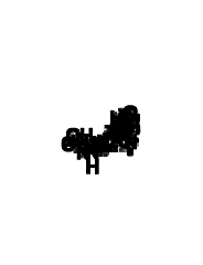 Cc1cc(-c2ccn3nc(Nc4ccc(C(=O)O)cn4)cc3c2)c(OC2C[C@H]3COC[C@@H](C2)N3C(=O)OC(C)(C)C)cn1